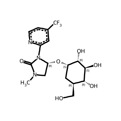 CN1C[C@@H](O[C@H]2C[C@H](CO)[C@@H](O)[C@H](O)[C@H]2O)N(c2cc(C(F)(F)F)ccn2)C1=O